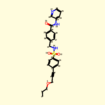 CCCOCC#Cc1ccc(S(=O)(=O)NCc2ccc(C(=O)Nc3cccnc3)cc2)cc1